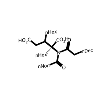 CCCCCCCCCCCC(=O)N(C(=O)CCCCCCCCC)[C@](CCCCCC)(C(=O)O)C(CCCCCC)CC(=O)O